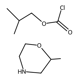 CC(C)COC(=O)Cl.CC1CNCCO1